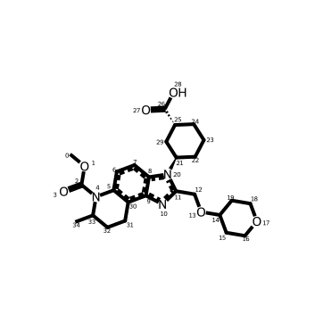 COC(=O)N1c2ccc3c(nc(COC4CCOCC4)n3[C@@H]3CCC[C@@H](C(=O)O)C3)c2CCC1C